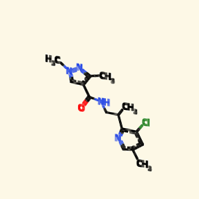 Cc1cnc(C(C)CNC(=O)c2cn(C)nc2C)c(Cl)c1